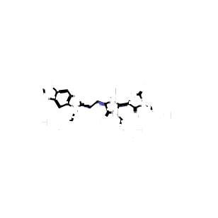 O=C(O)CN1C(=O)/C(=c2/[nH]/c(=C/C=C3\Oc4cc5c(cc4N3CC(=O)O)OCO5)c(=O)n2CC(=O)O)SC1=S